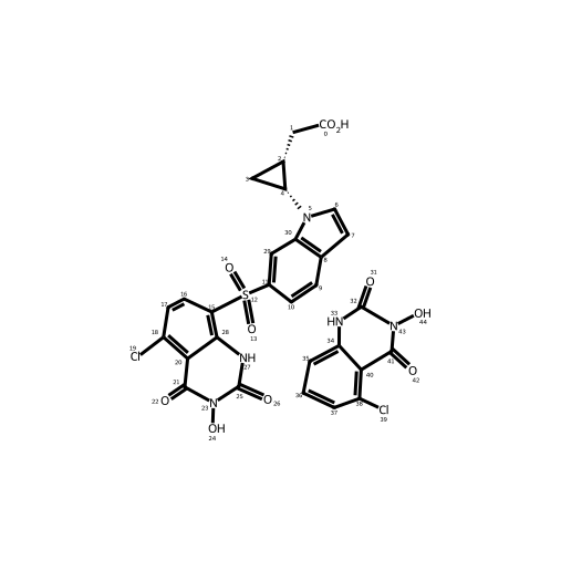 O=C(O)C[C@H]1C[C@H]1n1ccc2ccc(S(=O)(=O)c3ccc(Cl)c4c(=O)n(O)c(=O)[nH]c34)cc21.O=c1[nH]c2cccc(Cl)c2c(=O)n1O